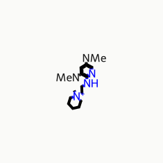 CNc1cnc(NCC[N+]2(C)CCCCC2)c(NC)c1